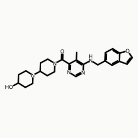 Cc1c(NCc2ccc3occc3c2)ncnc1C(=O)N1CCC(N2CCC(O)CC2)CC1